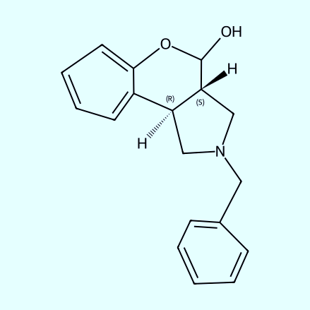 OC1Oc2ccccc2[C@@H]2CN(Cc3ccccc3)C[C@@H]12